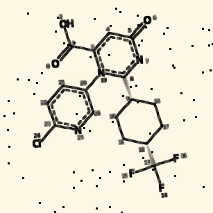 O=C(O)c1cc(=O)nc([C@H]2CC[C@@H](C(F)(F)F)CC2)n1-c1ccc(Cl)nc1